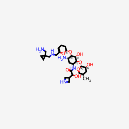 C[C@@H]1CO[C@H](O[C@@H]2[C@@H](O)[C@H](O[C@@H]3CCC=C(CNCC4(CN)CC4)O3)[C@@H](N)C[C@H]2NC(=O)C(O)C2CNC2)[C@H](O)C1